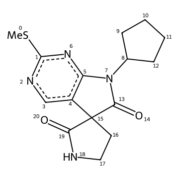 CSc1ncc2c(n1)N(C1CCCC1)C(=O)C21CCNC1=O